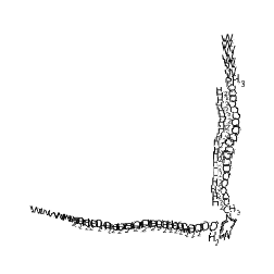 Cn1ccnc1.O.O.O.O.O.O.O.O.O.O.O.O.O.O.O.O.O.O.O.O.O.O.O.O.O.O.O.O.O.O.O.O.O.O.O.O.O.O.O.O.P.[W].[W].[W].[W].[W].[W].[W].[W].[W].[W].[W].[W]